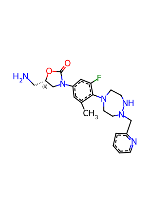 Cc1cc(N2C[C@H](CN)OC2=O)cc(F)c1N1CCNN(Cc2ccccn2)CC1